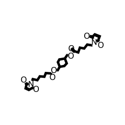 O=C(CCCCCN1C(=O)C=CC1=O)OCC1CCC(COC(=O)CCCCCN2C(=O)C=CC2=O)CC1